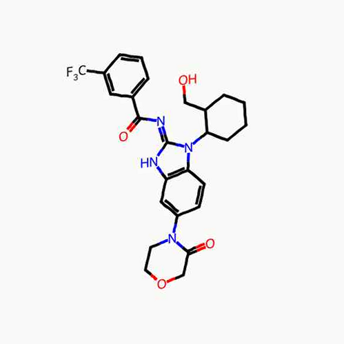 O=C(/N=c1\[nH]c2cc(N3CCOCC3=O)ccc2n1C1CCCCC1CO)c1cccc(C(F)(F)F)c1